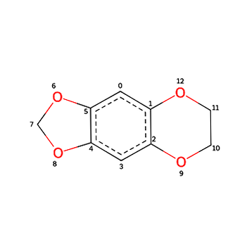 c1c2c(cc3c1OCO3)OCCO2